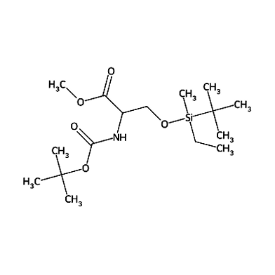 CC[Si](C)(OCC(NC(=O)OC(C)(C)C)C(=O)OC)C(C)(C)C